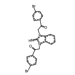 N=c1n(CC(=O)c2ccc(Br)cc2)c2ccccc2n1CC(=O)c1ccc(Br)cc1